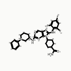 NC(=O)C1CCC(n2c(Nc3c(F)cc(F)cc3F)nc3cnc(N[C@@H]4CCCN(c5ccccc5)C4)nc32)CC1